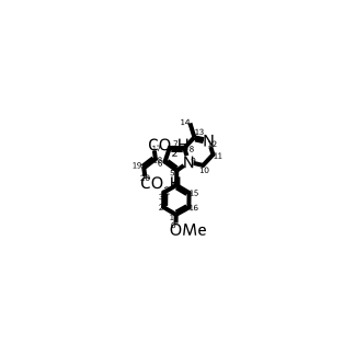 COc1ccc(-c2ccc3n2CCN=C3C)cc1.O=C(O)C=CC(=O)O